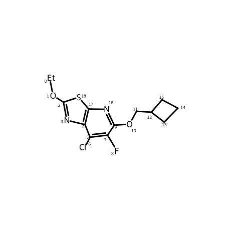 CCOc1nc2c(Cl)c(F)c(OCC3CCC3)nc2s1